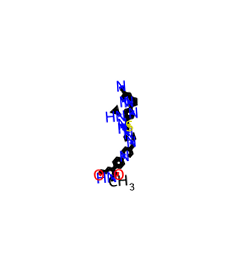 CNC(=O)C(CCC=O)c1ccc(N2CCC(CN3CCN(c4nnc(-c5cnc(-c6ccc7cc(C#N)cnn67)cc5NC5CC5)s4)CC3)CC2)cc1